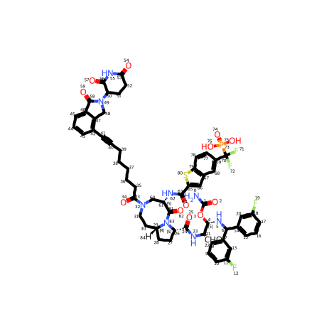 NC(=O)O[C@H](NC(c1cccc(F)c1)c1cccc(F)c1)C(C=O)NC(=O)[C@@H]1CC[C@@H]2CCN(C(=O)CCCCCC#Cc3cccc4c3CN(C3CCC(=O)NC3=O)C4=O)C[C@H](NC(=O)c3cc4cc(C(F)(F)P(=O)(O)O)ccc4s3)C(=O)N21